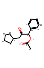 CC(=O)OC(C(=O)CC1CCCC1)c1ccccc1